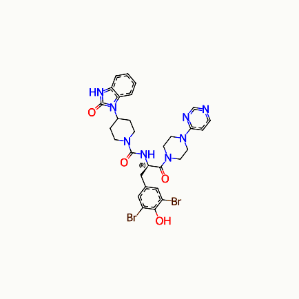 O=C(N[C@H](Cc1cc(Br)c(O)c(Br)c1)C(=O)N1CCN(c2ccncn2)CC1)N1CCC(n2c(=O)[nH]c3ccccc32)CC1